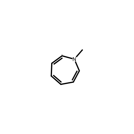 CN1[C]=CC=CC=C1